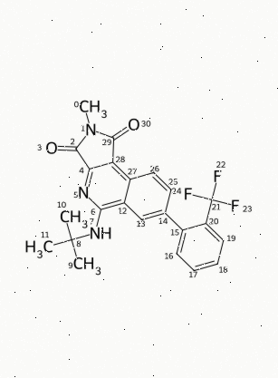 CN1C(=O)c2nc(NC(C)(C)C)c3cc(-c4ccccc4C(F)(F)F)ccc3c2C1=O